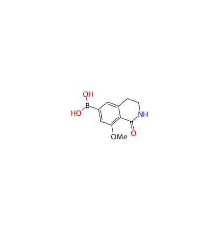 COc1cc(B(O)O)cc2c1C(=O)NCC2